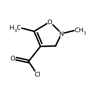 CC1=C(C(=O)Cl)CN(C)O1